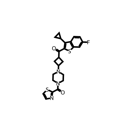 O=C(c1sc2cc(F)ccc2c1C1CC1)C1CC(N2CCN(C(=O)c3nccs3)CC2)C1